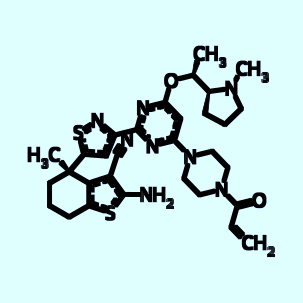 C=CC(=O)N1CCN(c2cc(O[C@@H](C)[C@@H]3CCCN3C)nc(-c3cc([C@@]4(C)CCCc5sc(N)c(C#N)c54)sn3)n2)CC1